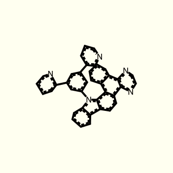 c1ccc(-c2cc(-c3cccnc3)cc(-n3c4ccccc4c4ccc5c6nccnc6c6ccccc6c5c43)c2)nc1